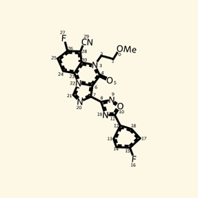 COCCn1c(=O)c2c(-c3noc(-c4ccc(F)cc4)n3)ncn2c2ccc(F)c(C#N)c21